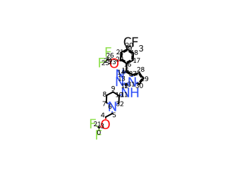 FC(F)OCCN1CCC[C@@H](Nc2nnc(-c3ccc(C(F)(F)F)cc3OC(F)F)c3cccn23)C1